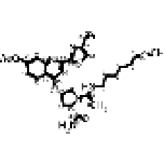 C=C=CCCCCCNC(=C)N1C[C@H](Oc2cc(-c3nc(C(C)C)cs3)nc3cc(OC)ccc23)C[C@H]1C(N)=O